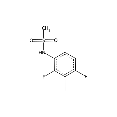 CS(=O)(=O)Nc1ccc(F)c(I)c1F